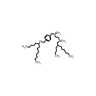 CCCCCCCC(CCCCC)OCc1ccc(CN(C)CCN(C)CC(CCCC)CCCCCC)cc1